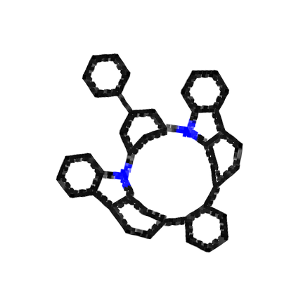 c1ccc(-c2cc3cc(c2)n2c4ccccc4c4ccc(cc42)c2ccccc2c2ccc4c5ccccc5n3c4c2)cc1